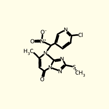 CSc1nc2n(C(c3ccc(Cl)nc3)[N+](=O)[O-])c(C)cc(=O)n2n1